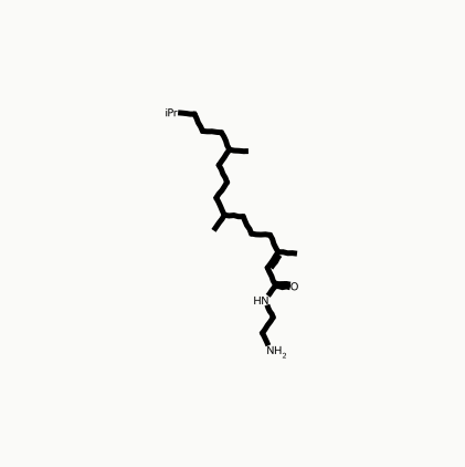 CC(=CC(=O)NCCN)CCCC(C)CCCC(C)CCCC(C)C